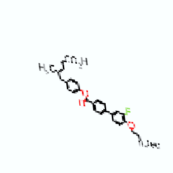 CCCCCCCCCCCCOc1ccc(-c2ccc(C(=O)Oc3ccc(C[C@@H](C)CCC(=O)O)cc3)cc2)cc1F